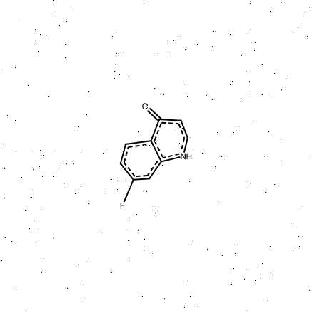 O=c1c[c][nH]c2cc(F)ccc12